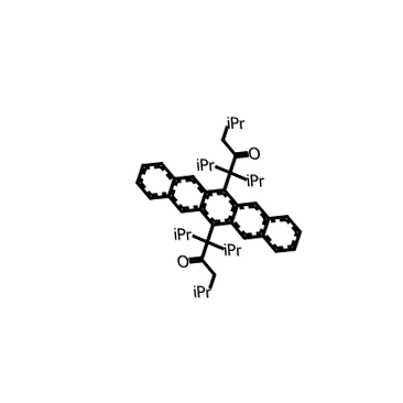 CC(C)CC(=O)C(c1c2cc3ccccc3cc2c(C(C(=O)CC(C)C)(C(C)C)C(C)C)c2cc3ccccc3cc12)(C(C)C)C(C)C